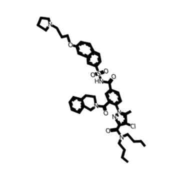 CCCCN(CCCC)C(=O)c1nn(-c2ccc(C(=O)NS(=O)(=O)c3ccc4ccc(OCCCN5CCCC5)cc4c3)cc2C(=O)N2CCc3ccccc3C2)c(C)c1Cl